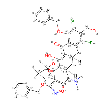 CN(C)[C@@H]1c2onc(OCc3ccccc3)c2C(=O)[C@@]2(O[Si](C)(C)C(C)(C)C)C(O)=C3C(=O)c4c(c(F)c(CO)c(Br)c4OCc4ccccc4)C[C@H]3C[C@@H]12